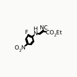 CCOC(=O)C(C#N)=CNc1ccc([N+](=O)[O-])cc1F